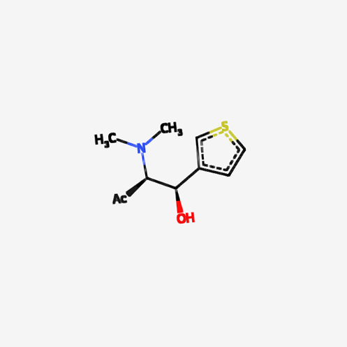 CC(=O)[C@H]([C@H](O)c1ccsc1)N(C)C